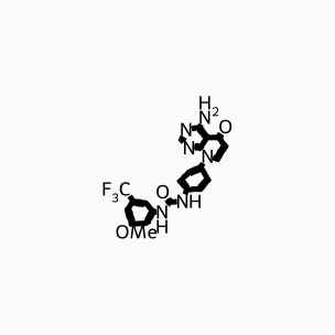 COc1ccc(C(F)(F)F)cc1NC(=O)Nc1ccc(-n2ccc(=O)c3c(N)ncnc32)cc1